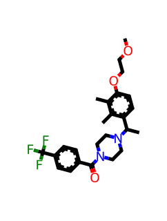 COCCOc1ccc(C(C)N2CCN(C(=O)c3ccc(C(F)(F)F)cc3)CC2)c(C)c1C